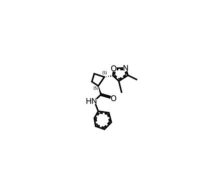 Cc1noc([C@H]2CC[C@@H]2C(=O)Nc2ccccc2)c1C